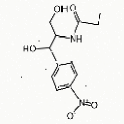 CCC(=O)NC(CO)C(O)c1ccc([N+](=O)[O-])cc1